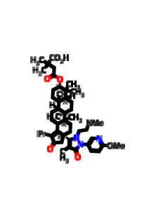 CNCCn1c([C@@]23CC[C@]4(C)C(CC[C@@H]5C6(C)CC[C@H](OC(=O)CC(C)(C)C(=O)O)C(C)(C)[C@@H]6CC[C@]54C)C2=C(C(C)C)C(=O)C3)c(C)c(=O)n1-c1ccc(OC)nc1